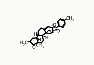 Cc1ccc(S(=O)(=O)OC[C@]23CCC(=O)C=C2CC[C@@H]2[C@H]3CC[C@]3(C)C(=O)C(C)C[C@@H]23)cc1